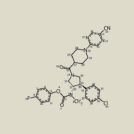 CN(C(=O)Oc1ccc(F)cc1)[C@@H]1CN(C(=O)C2CCN(c3cnc(C#N)cn3)CC2)C[C@H]1c1ccc(Cl)cc1